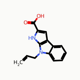 C=CCn1c2ccccc2c2cc(C(=O)O)[nH]c21